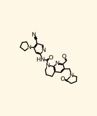 N#Cc1cnc(NC(=O)N2CCCc3cc(CN4CCCC4=O)c(C=O)nc32)cc1N1CCCC1